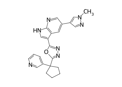 Cn1cc(-c2cnc3[nH]cc(-c4nnc(C5(c6cccnc6)CCCC5)o4)c3c2)cn1